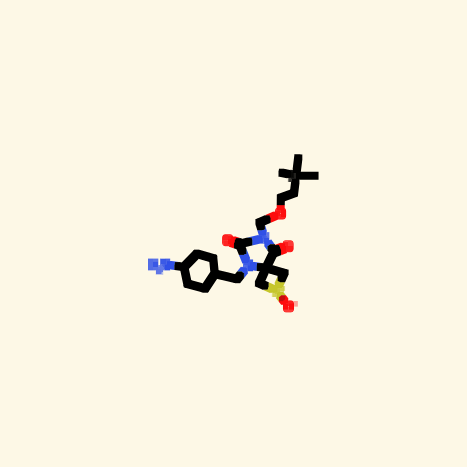 C[Si](C)(C)CCOCN1C(=O)N(CC2CCC(N)CC2)C2(C[S+]([O-])C2)C1=O